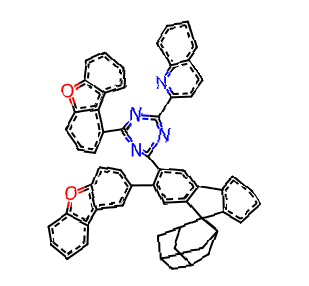 c1ccc2c(c1)-c1cc(-c3nc(-c4ccc5ccccc5n4)nc(-c4cccc5oc6ccccc6c45)n3)c(-c3ccc4oc5ccccc5c4c3)cc1C21C2CC3CC(C2)CC1C3